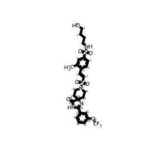 Cc1cc(S(=O)(=O)NCCCCO)ccc1/C=C/S(=O)(=O)N1CCC2(CC1)N=C(c1cccc(OC(F)(F)F)c1)NC2=O